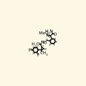 CON=C(C(N)=O)c1ccccc1CON=C(C)C1CC1(C)c1ccc(F)cc1F